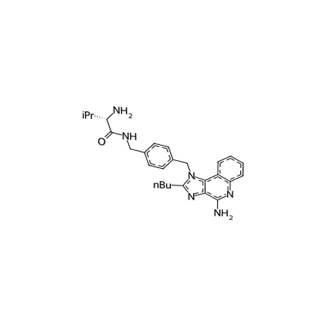 CCCCc1nc2c(N)nc3ccccc3c2n1Cc1ccc(CNC(=O)[C@@H](N)C(C)C)cc1